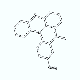 C=c1c2cccc3sc4ccccc4n(c4ccc(OC)cc14)-c32